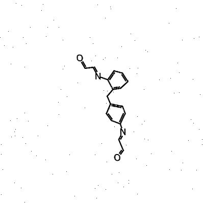 O=CC=Nc1ccc(Cc2ccccc2N=CC=O)cc1